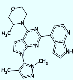 Cc1cnn(C)c1-n1ccc2c(N3CCOCC3C)nc(-c3ccnc4[nH]ccc34)nc21